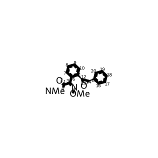 CNC(=O)C(=NOC)c1ccccc1[C@@H]1O[C@@H]1c1ccccc1